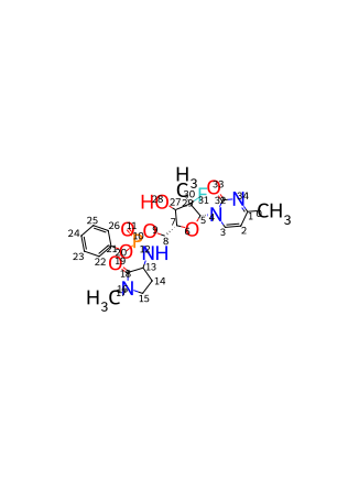 Cc1ccn([C@@H]2O[C@H](COP(=O)(NC3CCN(C)C3=O)Oc3ccccc3)C(O)[C@@]2(C)F)c(=O)n1